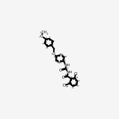 COc1ccc(COc2cnc(NC(=O)NC(=O)c3c(Cl)cccc3Cl)cn2)cc1